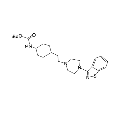 CC(C)COC(=O)NC1CCC(CCN2CCN(c3nsc4ccccc34)CC2)CC1